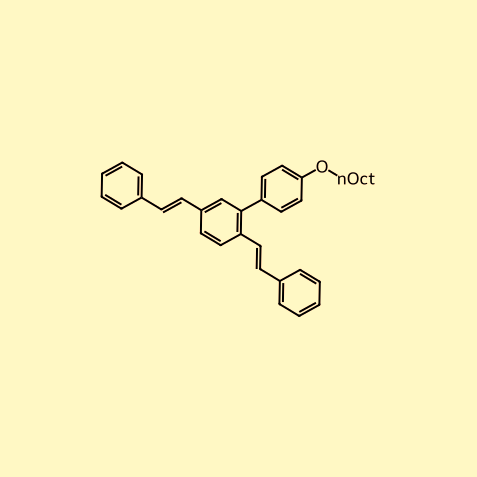 CCCCCCCCOc1ccc(-c2cc(/C=C/c3ccccc3)ccc2/C=C/c2ccccc2)cc1